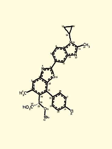 Cc1cc2nc(-c3ccc4c(c3)nc(C)n4C3CC3)sc2c(-c2ccc(Cl)cc2)c1[C@H](OC(C)(C)C)C(=O)O